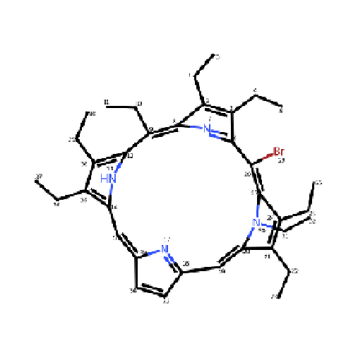 CCC1=C(CC)c2nc1c(CC)c1[nH]c(cc3nc(cc4c(CC)c(CC)c(c2Br)n4CC)C=C3)c(CC)c1CC